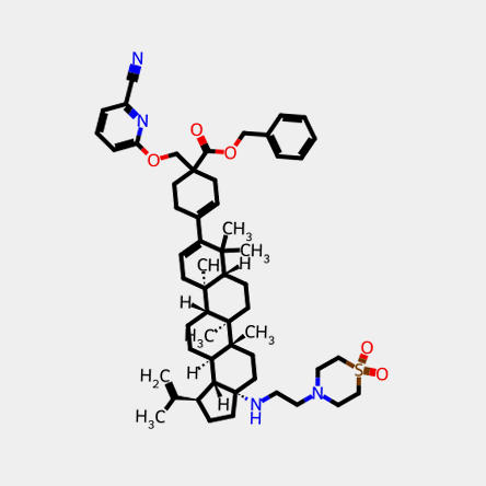 C=C(C)[C@@H]1CC[C@]2(NCCN3CCS(=O)(=O)CC3)CC[C@]3(C)[C@H](CC[C@@H]4[C@@]5(C)CC=C(C6=CCC(COc7cccc(C#N)n7)(C(=O)OCc7ccccc7)CC6)C(C)(C)[C@@H]5CC[C@]43C)[C@@H]12